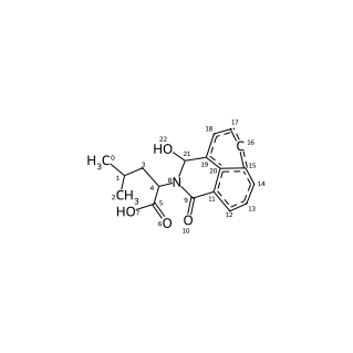 CC(C)CC(C(=O)O)N1C(=O)c2cccc3cccc(c23)C1O